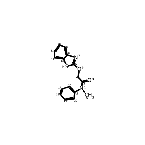 CN(C(=O)COc1nc2ccccc2s1)c1ccccc1